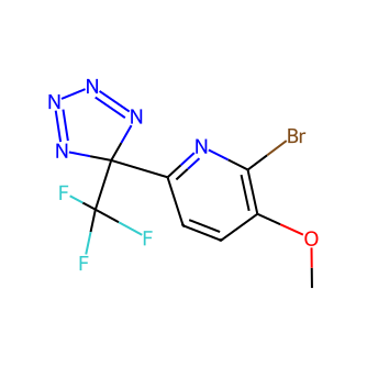 COc1ccc(C2(C(F)(F)F)N=NN=N2)nc1Br